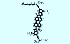 C#CC#CC#CC#CC(C#Cc1cc(N)c2nc3c4ccc5c6ccc7c(=O)n8c9cc(C#CC(CCCCCCCC)CCCCCCCCCC)cc(N)c9nc8c8ccc(c9ccc(c(=O)n3c2c1)c4c95)c6c78)CCCCCCCCCC